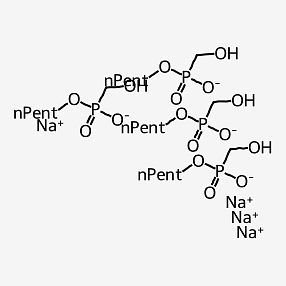 CCCCCOP(=O)([O-])CO.CCCCCOP(=O)([O-])CO.CCCCCOP(=O)([O-])CO.CCCCCOP(=O)([O-])CO.[Na+].[Na+].[Na+].[Na+]